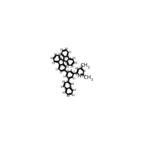 Cc1cc(C)nc(-c2cc(-c3ccc4c(c3)C3(c5ccccc5-c5ccccc53)c3ccccc3-4)cc(-c3ccc4ccccc4c3)c2)c1